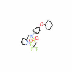 O=S(=O)(CC(F)(F)F)N(Cc1ccccn1)c1ccc(OC2CCCCC2)cc1